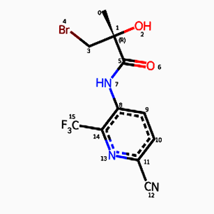 C[C@](O)(CBr)C(=O)Nc1ccc(C#N)nc1C(F)(F)F